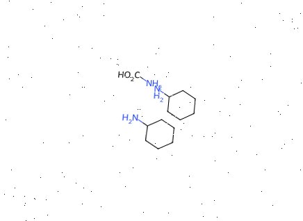 NC(=O)O.NC1CCCCC1.NC1CCCCC1